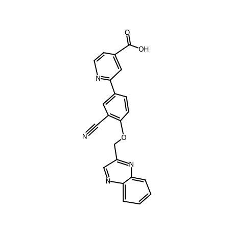 N#Cc1cc(-c2cc(C(=O)O)ccn2)ccc1OCc1cnc2ccccc2n1